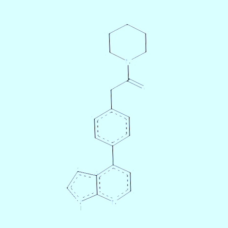 O=C(Cc1ccc(-c2ccnc3[nH]ccc23)cc1)N1CCCCC1